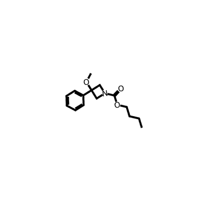 CCCCOC(=O)N1CC(OC)(c2ccccc2)C1